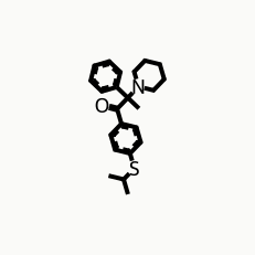 CC(C)Sc1ccc(C(=O)C(C)(c2ccccc2)N2CCCCC2)cc1